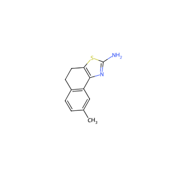 Cc1ccc2c(c1)-c1nc(N)sc1CC2